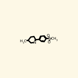 CC1CCC(c2ccc(S(C)(=O)=O)cc2)=NC1